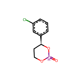 O=[PH]1OCC[C@@H](c2cccc(Cl)c2)O1